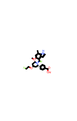 COc1cc(C)c2[nH]ccc2c1C(F)N1CC[C@@H](OCCF)C[C@H]1c1ccc(C(=O)O)cc1